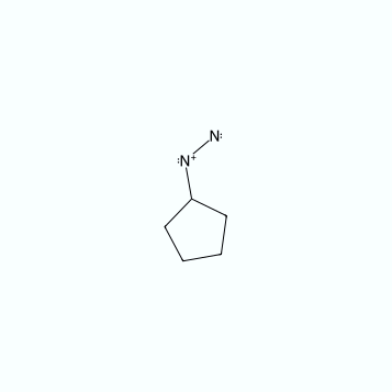 [N][N+]C1CCCC1